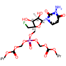 CC(C)OC(=O)OCOP(=O)(OCOC(=O)OC(C)C)OC[C@@]1(CF)O[C@@H](n2ccc(=O)n(N)c2=O)[C@](C)(O)[C@@H]1O